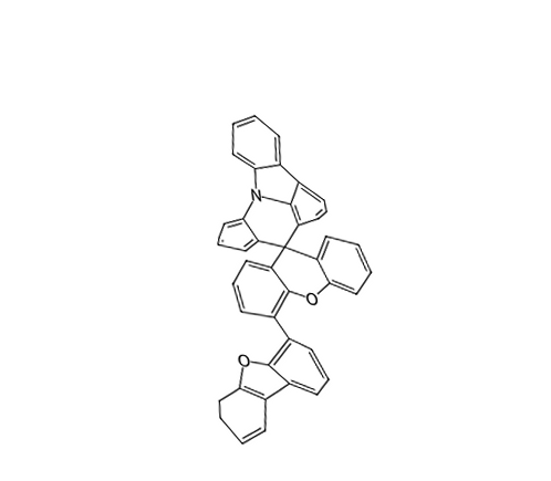 C1=Cc2c(oc3c(-c4cccc5c4Oc4ccccc4C54c5ccccc5-n5c6ccccc6c6cccc4c65)cccc23)CC1